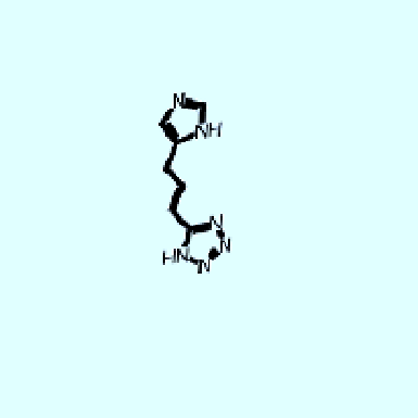 C(=Cc1nnn[nH]1)Cc1cnc[nH]1